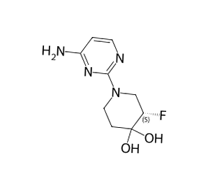 Nc1ccnc(N2CCC(O)(O)[C@@H](F)C2)n1